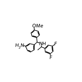 COc1ccc(C(NC(C)c2cc(F)cc(F)c2)c2cccc(N)c2)cc1